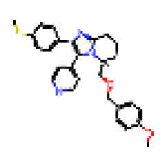 COc1ccc(COC[C@@H]2CCCc3nc(-c4ccc(SC)cc4)c(-c4ccncc4)n32)cc1